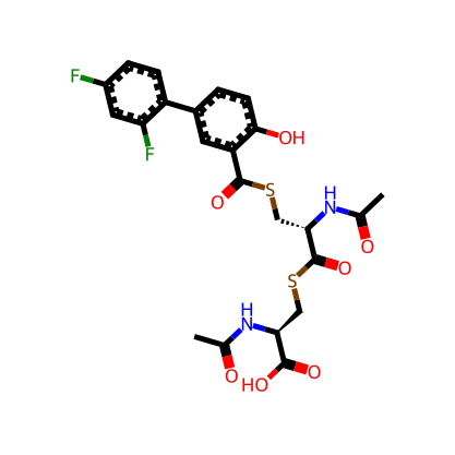 CC(=O)N[C@@H](CSC(=O)[C@H](CSC(=O)c1cc(-c2ccc(F)cc2F)ccc1O)NC(C)=O)C(=O)O